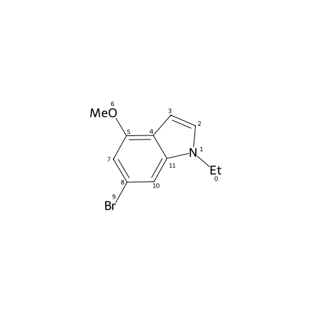 CCn1ccc2c(OC)cc(Br)cc21